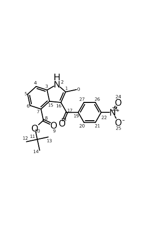 Cc1[nH]c2cccc(C(=O)OC(C)(C)C)c2c1C(=O)c1ccc([N+](=O)[O-])cc1